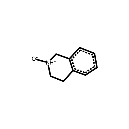 [O-][NH+]1CCc2ccccc2C1